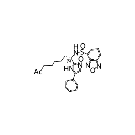 CC(=O)CCCCC[C@H](NS(=O)(=O)c1cccc2nonc12)c1ncc(-c2ccccc2)[nH]1